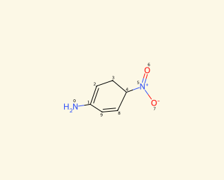 NC1=CCC([N+](=O)[O-])C=C1